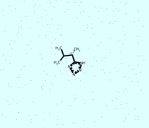 CC(C)[C@H](C)c1nnn[nH]1